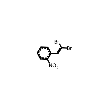 O=[N+]([O-])c1ccccc1C=C(Br)Br